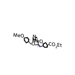 CCOC(=O)c1ccc(/C=C(/COCc2ccc(OC)cc2)Cn2ccnc2)c(OC)c1